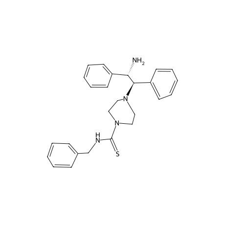 N[C@@H](c1ccccc1)[C@@H](c1ccccc1)N1CCN(C(=S)NCc2ccccc2)CC1